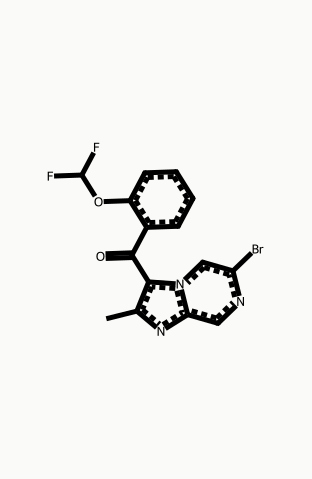 Cc1nc2cnc(Br)cn2c1C(=O)c1ccccc1OC(F)F